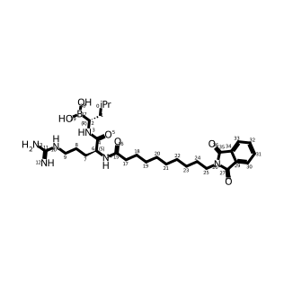 CC(C)C[C@H](NC(=O)[C@H](CCCNC(=N)N)NC(=O)CCCCCCCCCN1C(=O)c2ccccc2C1=O)B(O)O